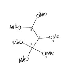 CO[C](C(OC)OC)C(OC)(OC)OC